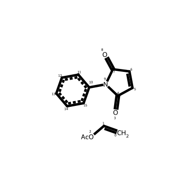 C=COC(C)=O.O=C1C=CC(=O)N1c1ccccc1